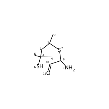 CC(CC(C)(C)S)SC(N)C=O